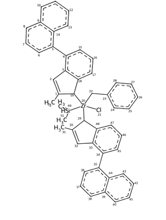 CC1=Cc2c(-c3cccc4ccccc34)cccc2[CH]1[Zr]([Cl])([CH2]c1ccccc1)([CH]1C(C)=Cc2c(-c3cccc4ccccc34)cccc21)[SiH](C)C